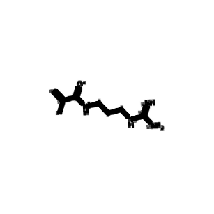 C=C(C)C(=O)NCCCNC(=N)N